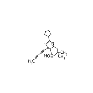 CC#CC#Cc1[c]c(C2CCCC2)nc2c1[C@@H](O)CC(C)(C)C2